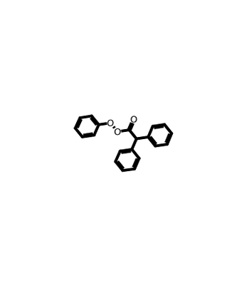 O=C(OOc1ccccc1)C(c1ccccc1)c1ccccc1